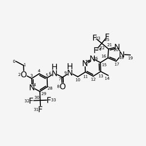 CCOc1cc(NC(=O)NCc2cc(C)c(-c3cn(C)nc3C(F)(F)F)nn2)cc(C(F)(F)F)n1